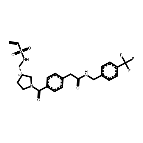 C=CS(=O)(=O)NC[C@H]1CCN(C(=O)c2ccc(CC(=O)NCc3ccc(C(F)(F)F)cc3)cc2)C1